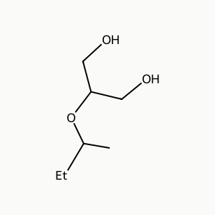 CCC(C)OC(CO)CO